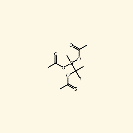 CC(=O)O[Si](C)(OC(C)=O)C(C)(I)OC(C)=S